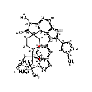 BC(B)(B)n1ncc2cc(-c3c(-c4cnn(C)c4)[nH]c4ncc5c(c34)C3(CCN([C@@](C)(CC#N)COC)CC3)C(=O)N5C)ccc21